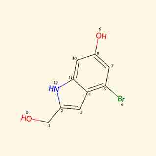 OCc1cc2c(Br)cc(O)cc2[nH]1